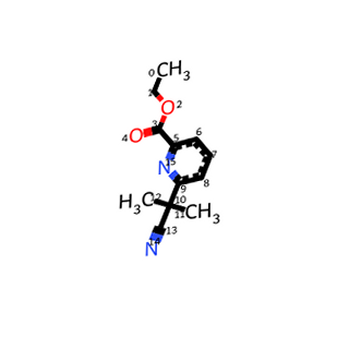 CCOC(=O)c1cccc(C(C)(C)C#N)n1